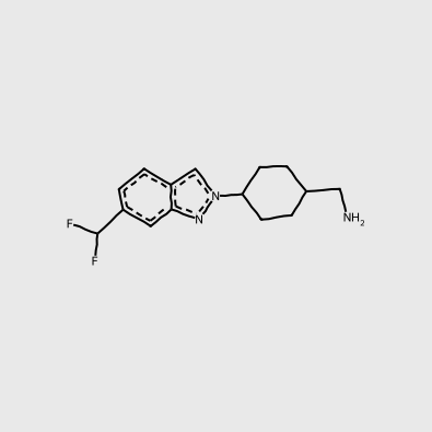 NCC1CCC(n2cc3ccc(C(F)F)cc3n2)CC1